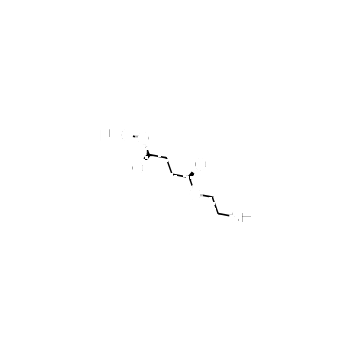 COC(=O)CCC(=O)OCCS